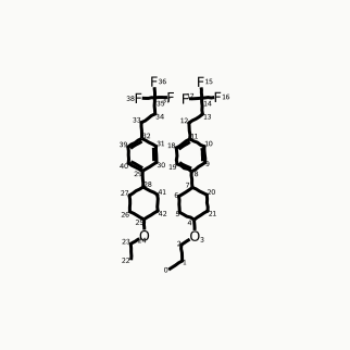 CCCOC1CCC(c2ccc(CCC(F)(F)F)cc2)CC1.CCOC1CCC(c2ccc(CCC(F)(F)F)cc2)CC1